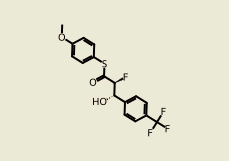 COc1ccc(SC(=O)[C@@H](F)[C@@H](O)c2ccc(C(F)(F)F)cc2)cc1